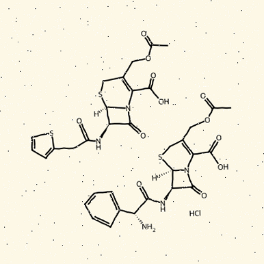 CC(=O)OCC1=C(C(=O)O)N2C(=O)[C@@H](NC(=O)Cc3cccs3)[C@H]2SC1.CC(=O)OCC1=C(C(=O)O)N2C(=O)[C@@H](NC(=O)[C@H](N)c3ccccc3)[C@H]2SC1.Cl